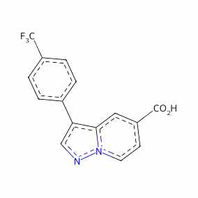 O=C(O)c1ccn2ncc(-c3ccc(C(F)(F)F)cc3)c2c1